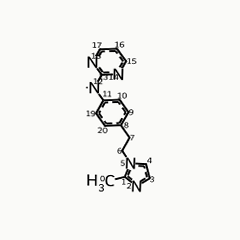 Cc1nccn1CCc1ccc([N]c2ncccn2)cc1